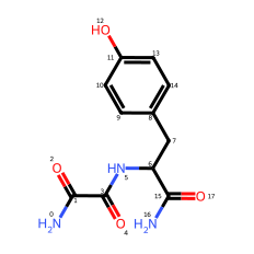 NC(=O)C(=O)NC(Cc1ccc(O)cc1)C(N)=O